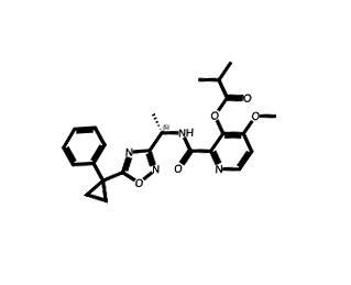 COc1ccnc(C(=O)N[C@@H](C)c2noc(C3(c4ccccc4)CC3)n2)c1OC(=O)C(C)C